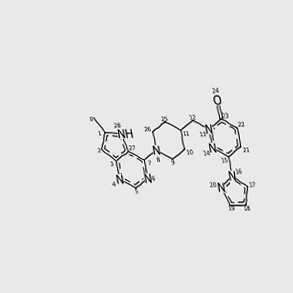 Cc1cc2ncnc(N3CCC(Cn4nc(-n5cccn5)ccc4=O)CC3)c2[nH]1